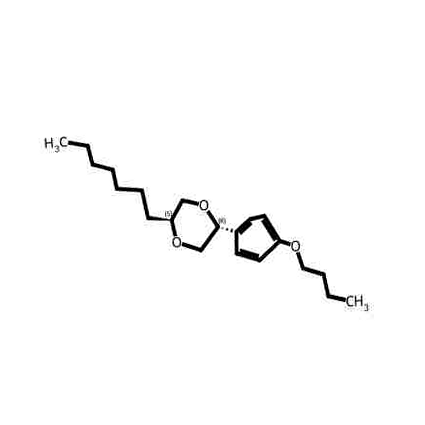 CCCCCCC[C@H]1CO[C@H](c2ccc(OCCCC)cc2)CO1